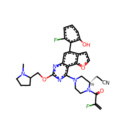 C=C(F)C(=O)N1CCN(c2nc(OCC3CCCN3C)nc3cc(-c4c(O)cccc4F)c4ccoc4c23)C[C@@H]1CC#N